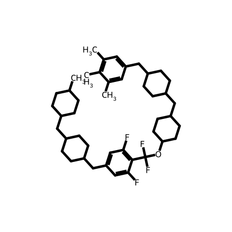 Cc1cc(CC2CCC(CC3CCC(OC(F)(F)c4c(F)cc(CC5CCC(CC6CCC(C)CC6)CC5)cc4F)CC3)CC2)cc(C)c1C